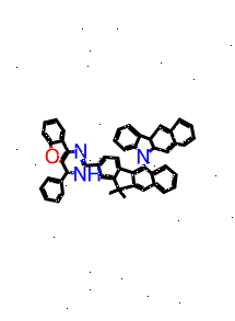 CC1(C)c2cc(C3=Nc4c(oc5ccccc45)C(c4ccccc4)N3)ccc2-c2c1cc1ccccc1c2N1c2ccccc2C2C=c3ccccc3=CC21